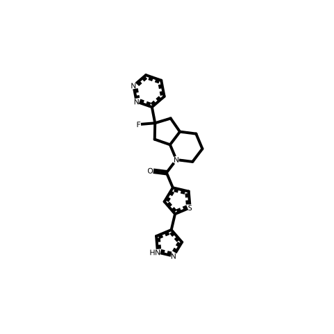 O=C(c1csc(-c2cn[nH]c2)c1)N1CCCC2CC(F)(c3cccnn3)CC21